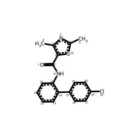 Cc1nc(C)c(C(=O)Nc2ccccc2-c2ccc(Cl)cc2)s1